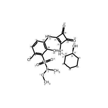 CON(C)S(=O)(=O)c1c(Cl)ccc(Nc2c(N[C@H]3CCCC[C@@H]3O)c(=O)c2=O)c1O